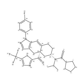 CC(C)N(C(=O)C1CCCC1)[C@H]1CCC2=Cc3c(cnn3-c3ccc(F)cc3)C[C@]2(C(=O)c2ncc(C(F)(F)F)s2)C1